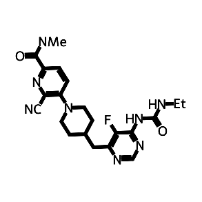 CCNC(=O)Nc1ncnc(CC2CCN(c3ccc(C(=O)NC)nc3C#N)CC2)c1F